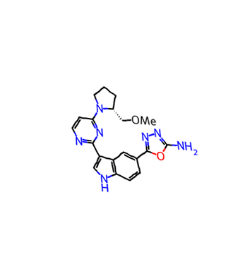 COC[C@H]1CCCN1c1ccnc(-c2c[nH]c3ccc(-c4nnc(N)o4)cc23)n1